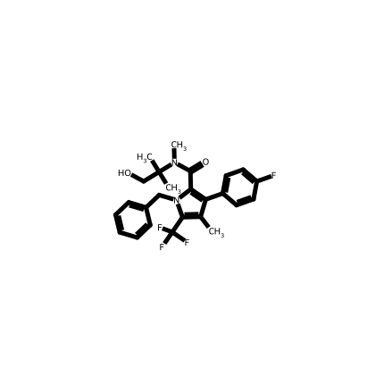 Cc1c(-c2ccc(F)cc2)c(C(=O)N(C)C(C)(C)CO)n(Cc2ccccc2)c1C(F)(F)F